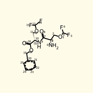 N[C@@H](COC(F)F)C(=O)N[C@@H](COC(F)F)C(=O)OCc1ccccc1